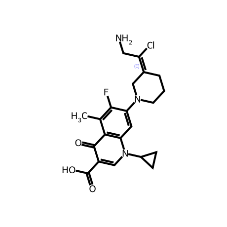 Cc1c(F)c(N2CCC/C(=C(\Cl)CN)C2)cc2c1c(=O)c(C(=O)O)cn2C1CC1